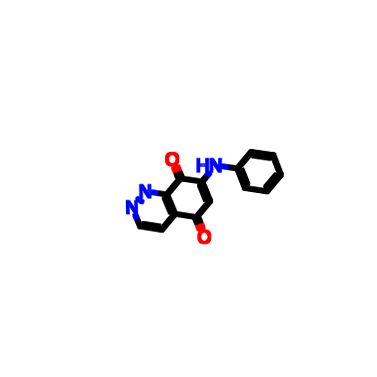 O=C1C=C(Nc2ccccc2)C(=O)c2nnccc21